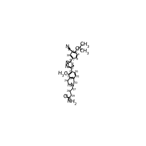 Cc1c(-c2nnc(-c3ccc(OC(C)C)c(C#N)c3)s2)ccc2c1CCN(CCCC(N)=O)C2